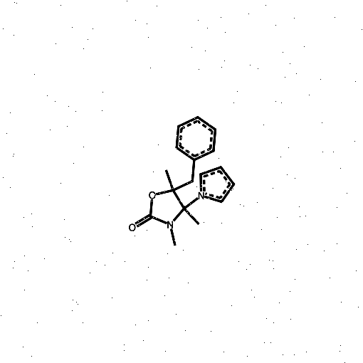 CN1C(=O)OC(C)(Cc2ccccc2)C1(C)n1cccc1